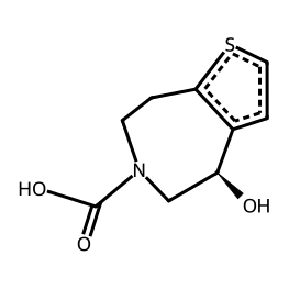 O=C(O)N1CCc2sccc2[C@@H](O)C1